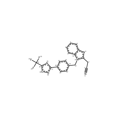 N#CCc1nc2ccccc2n1Cc1ccc(-c2noc(C(F)(F)F)n2)cc1